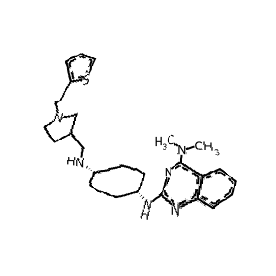 CN(C)c1nc(N[C@H]2CC[C@@H](NCC3CCN(Cc4cccs4)C3)CC2)nc2ccccc12